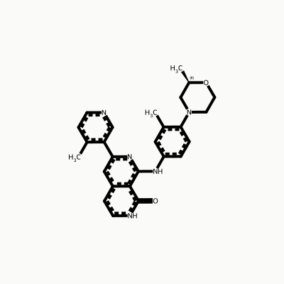 Cc1ccncc1-c1cc2cc[nH]c(=O)c2c(Nc2ccc(N3CCO[C@H](C)C3)c(C)c2)n1